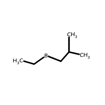 CC[B]CC(C)C